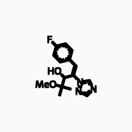 COC(C)(C)C(O)/C(=C\c1ccc(F)cc1)n1cncn1